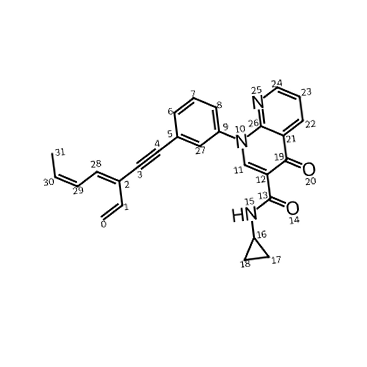 C=C/C(C#Cc1cccc(-n2cc(C(=O)NC3CC3)c(=O)c3cccnc32)c1)=C\C=C/C